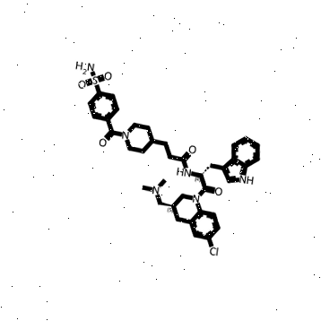 CN(C)C[C@@H]1Cc2cc(Cl)ccc2N(C(=O)[C@@H](Cc2c[nH]c3ccccc23)NC(=O)CCC2CCN(C(=O)c3ccc(S(N)(=O)=O)cc3)CC2)C1